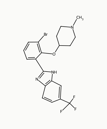 CN1CCC(Oc2c(Br)cccc2-c2nc3ccc(C(F)(F)F)cc3[nH]2)CC1